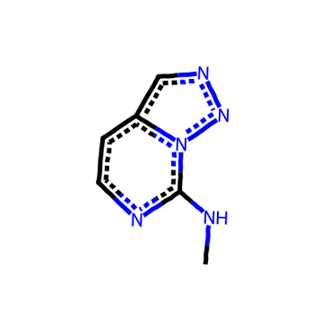 CNc1nccc2cnnn12